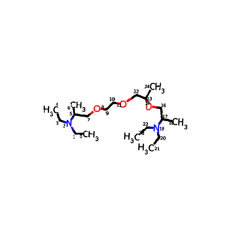 CCN(CC)C(C)COCCOCC(C)OCC(C)N(CC)CC